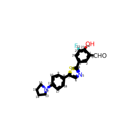 O=Cc1cc(-c2ncc(-c3ccc(N4CCCC4)cc3)s2)cc(F)c1O